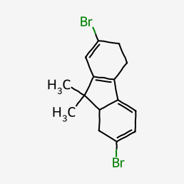 CC1(C)C2=C(CCC(Br)=C2)C2=CC=C(Br)CC21